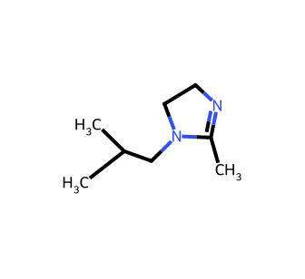 CC1=NCCN1CC(C)C